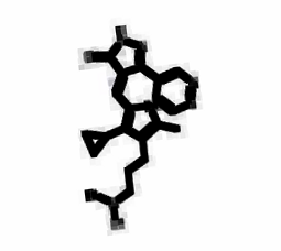 CCN(CC)CCCc1c(C)[nH]c(/C=C2/C(=O)NN=C2c2ccnnc2)c1C1CC1